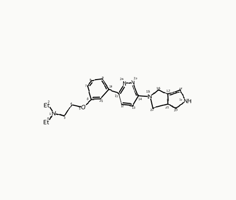 CCN(CC)CCOc1cccc(-c2ccc(N3CC4=CNCC4C3)nn2)c1